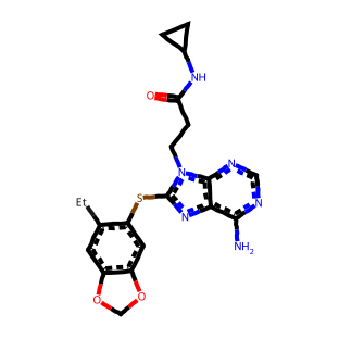 CCc1cc2c(cc1Sc1nc3c(N)ncnc3n1CCC(=O)NC1CC1)OCO2